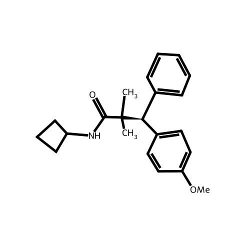 COc1ccc([C@H](c2ccccc2)C(C)(C)C(=O)NC2CCC2)cc1